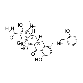 CN(C)[C@@H]1C(O)=C(C(N)=O)C(=O)[C@@]2(O)C(O)=C3C(=O)c4c(O)ccc(CNCc5ccccc5O)c4C[C@H]3C[C@@H]12